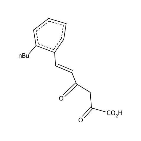 CCCCc1ccccc1C=CC(=O)CC(=O)C(=O)O